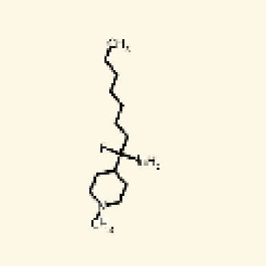 CCCCCCC[C](F)([InH2])C1CCN(C)CC1